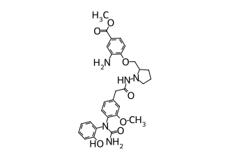 COC(=O)c1ccc(OCC2CCCN2NC(=O)Cc2ccc(N(C(N)=O)c3ccccc3O)c(OC)c2)c(N)c1